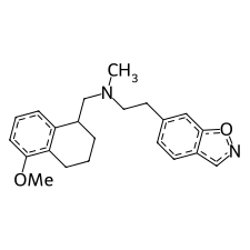 COc1cccc2c1CCCC2CN(C)CCc1ccc2cnoc2c1